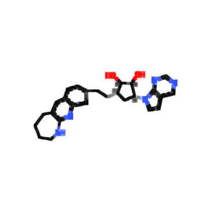 O[C@@H]1[C@@H](CCc2ccc3cc4c(nc3c2)NCCCC4)C[C@@H](n2ccc3cncnc32)[C@@H]1O